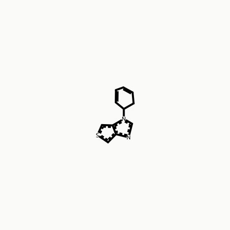 C1=CCC(n2cnc3cscc32)C=C1